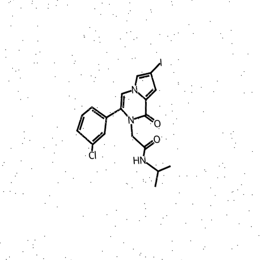 CC(C)NC(=O)Cn1c(-c2cccc(Cl)c2)cn2cc(I)cc2c1=O